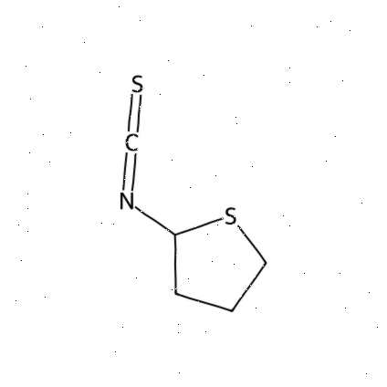 S=C=NC1CCCS1